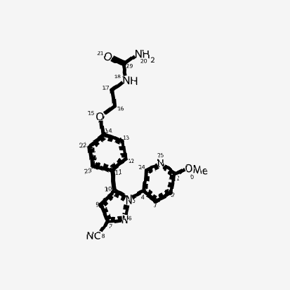 COc1ccc(-n2nc(C#N)cc2-c2ccc(OCCNC(N)=O)cc2)cn1